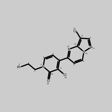 CC(C)CCn1ccc(-c2ccn3ncc(Cl)c3n2)c(Cl)c1=O